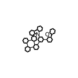 c1ccc2c(c1)-c1ccccc1-c1cccc(-c3cc(-c4cccc5c4oc4ccccc45)cc(-n4c5ccccc5c5ccccc54)c3)c1-c1ccccc1-2